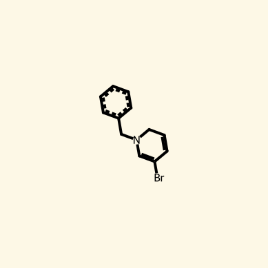 BrC1=CN(Cc2ccccc2)CC=C1